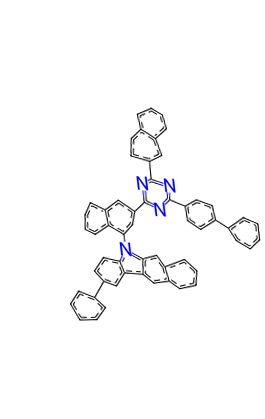 c1ccc(-c2ccc(-c3nc(-c4ccc5ccccc5c4)nc(-c4cc(-n5c6ccc(-c7ccccc7)cc6c6cc7ccccc7cc65)c5ccccc5c4)n3)cc2)cc1